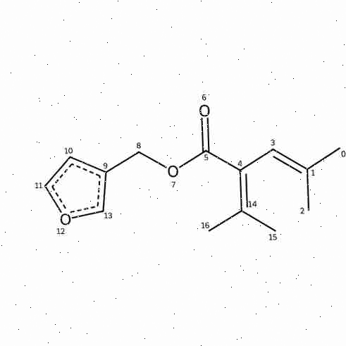 CC(C)=CC(C(=O)OCc1ccoc1)=C(C)C